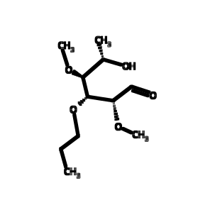 CCCO[C@H]([C@@H](OC)[C@H](C)O)[C@H](C=O)OC